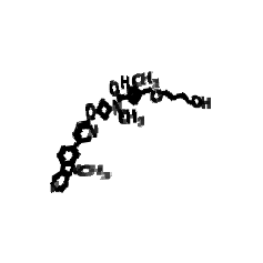 C[C@@H]1C2(COCCCCO)CC1(C(=O)N(C)[C@H]1C[C@H](Oc3ccc(-c4ccc5c6cnccc6n(C)c5c4)cn3)C1)C2